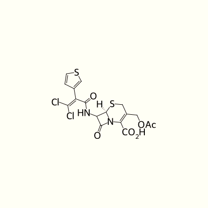 CC(=O)OCC1=C(C(=O)O)N2C(=O)C(NC(=O)C(=C(Cl)Cl)c3ccsc3)[C@H]2SC1